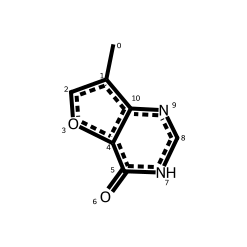 Cc1coc2c(=O)[nH]cnc12